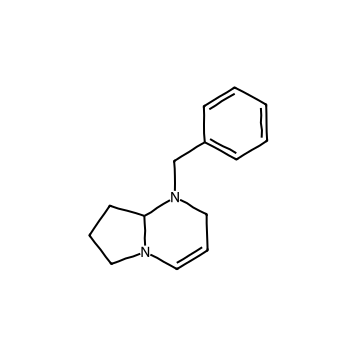 C1=CN2CCCC2N(Cc2ccccc2)C1